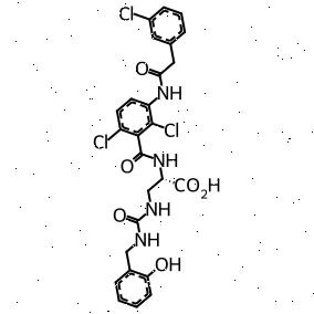 O=C(Cc1cccc(Cl)c1)Nc1ccc(Cl)c(C(=O)N[C@@H](CNC(=O)NCc2ccccc2O)C(=O)O)c1Cl